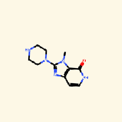 Cn1c(N2CCNCC2)nc2cc[nH]c(=O)c21